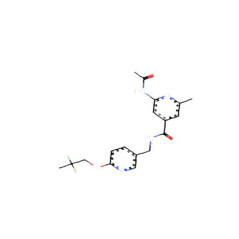 Cc1cc(C(=O)NCc2ccc(OCC(C)(F)F)nc2)cc(NC(=O)C(C)C)n1